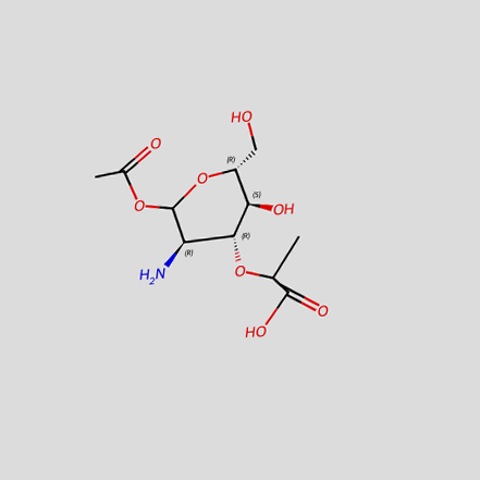 CC(=O)OC1O[C@H](CO)[C@@H](O)[C@H](OC(C)C(=O)O)[C@H]1N